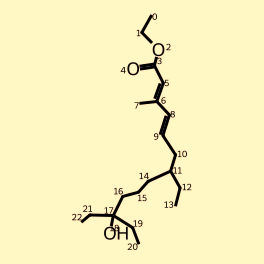 CCOC(=O)/C=C(C)/C=C/CC(CC)CCCC(O)(CC)CC